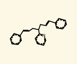 C(=C\c1ccccc1)/CC(C/C=C/c1ccccc1)c1ccccn1